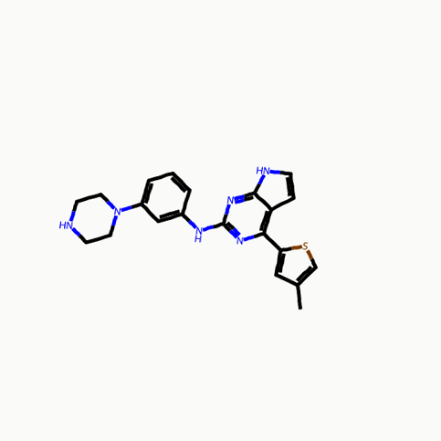 Cc1csc(-c2nc(Nc3cccc(N4CCNCC4)c3)nc3[nH]ccc23)c1